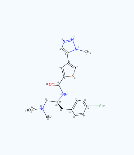 Cn1nncc1-c1csc(C(=O)N[C@@H](Cc2ccc(F)cc2)CN(C(=O)O)C(C)(C)C)c1